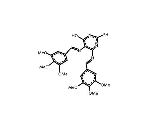 COc1cc(C=Nc2nc(S)nc(O)c2N=Cc2cc(OC)c(OC)c(OC)c2)cc(OC)c1OC